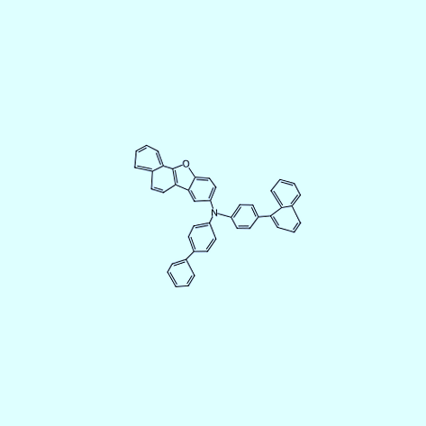 c1ccc(-c2ccc(N(c3ccc(-c4cccc5ccccc45)cc3)c3ccc4oc5c6ccccc6ccc5c4c3)cc2)cc1